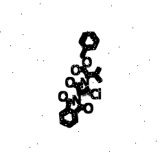 CC(C)=C(C(=O)OCc1ccccc1)N1C(=O)[C@@H](N2C(=O)c3ccccc3C2=O)[C@@H]1Cl